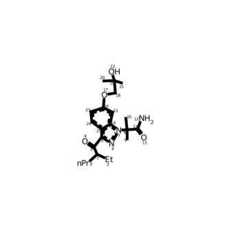 CCCC(CC)C(=O)c1nn(C(C)(C)C(N)=O)c2cc(OCC(C)(C)O)ccc12